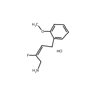 COc1ccccc1C/C=C(/F)CN.Cl